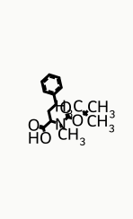 CN(C(=O)OC(C)(C)C)C(CCc1ccccc1)C(=O)O